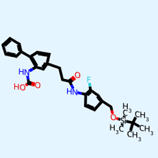 CC(C)(C)[Si](C)(C)OCc1ccc(NC(=O)CCc2ccc(-c3ccccc3)c(NC(=O)O)c2)c(F)c1